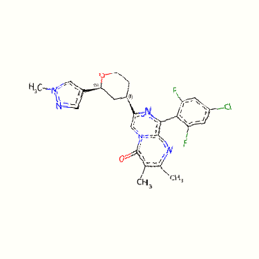 Cc1nc2c(-c3c(F)cc(Cl)cc3F)nc([C@@H]3CCO[C@H](c4cnn(C)c4)C3)cn2c(=O)c1C